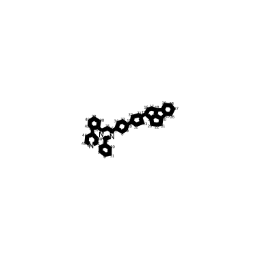 c1ccc(-c2nc(-c3ccc(-c4ccc(-c5ccc6c7c(cccc57)-c5ccccc5-6)cc4)cc3)cc(-c3ccccc3-c3ccncc3)n2)cc1